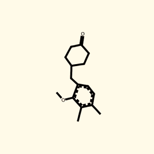 COc1c(CC2CCC(=O)CC2)ccc(C)c1C